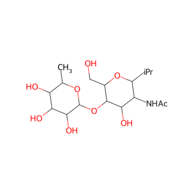 CC(=O)NC1C(O)C(OC2OC(C)C(O)C(O)C2O)C(CO)OC1C(C)C